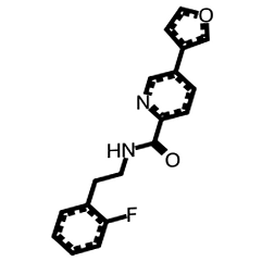 O=C(NCCc1ccccc1F)c1ccc(-c2ccoc2)cn1